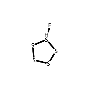 F[SH]1SSSS1